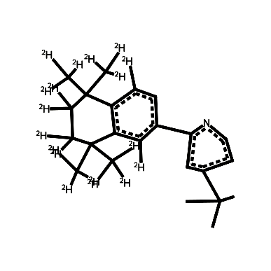 [2H]c1cc(-c2cc(C(C)(C)C)ccn2)c([2H])c2c1C(C([2H])([2H])[2H])(C([2H])([2H])[2H])C([2H])([2H])C([2H])([2H])C2(C([2H])([2H])[2H])C([2H])([2H])[2H]